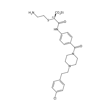 CCOC(=O)[C@H](SCCN)C(=O)Nc1ccc(C(=O)N2CCN(CCc3ccc(Cl)cc3)CC2)cc1